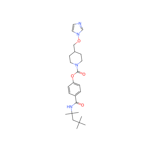 CC(C)(C)CC(C)(C)NC(=O)c1ccc(OC(=O)N2CCC(COn3ccnc3)CC2)cc1